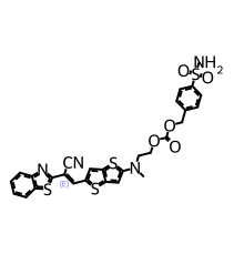 CN(CCOC(=O)OCc1ccc(S(N)(=O)=O)cc1)c1cc2sc(/C=C(\C#N)c3nc4ccccc4s3)cc2s1